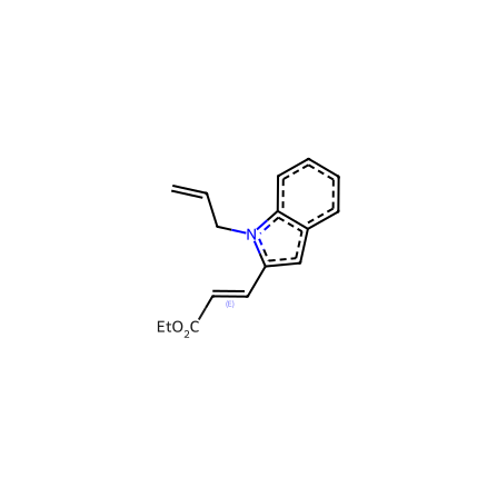 C=CCn1c(/C=C/C(=O)OCC)cc2ccccc21